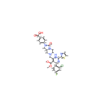 COC(=O)C1=C(CN2CCN3C(=O)N(c4ccc(C(=O)O)cc4)CC3C2)NC(c2nccs2)=N[C@H]1c1ccc(F)cc1Cl